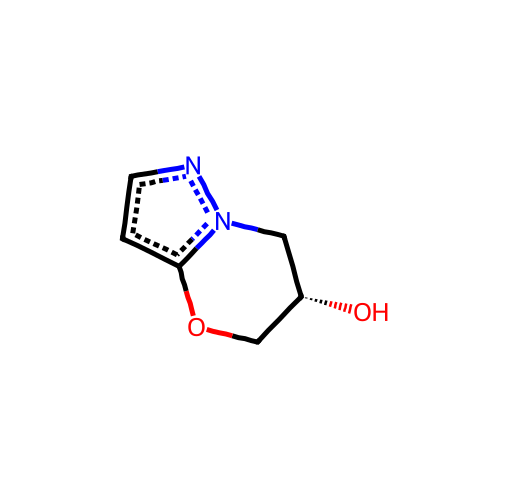 O[C@@H]1COc2ccnn2C1